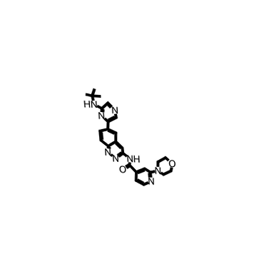 CC(C)(C)Nc1cncc(-c2ccc3nnc(NC(=O)c4ccnc(N5CCOCC5)c4)cc3c2)n1